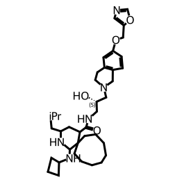 CC(C)CC1CC(C(=O)NC[C@H](O)CN2CCc3cc(OCc4cnco4)ccc3C2)C2(CCCCCCCC2)C(NC2CCC2)N1